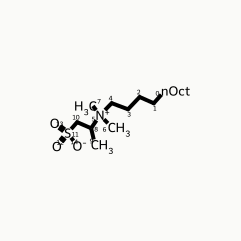 CCCCCCCCCCCC[N+](C)(C)C(C)CS(=O)(=O)[O-]